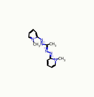 CC(/N=N/c1cccc[n+]1C)=N\N=c1/ccccn1C